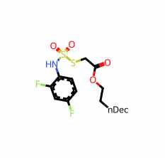 CCCCCCCCCCCCOC(=O)CSS(=O)(=O)Nc1ccc(F)cc1F